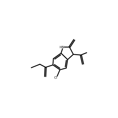 C=C(CC)c1cc2c(cc1Cl)C(C(=C)C)C(=C)N2